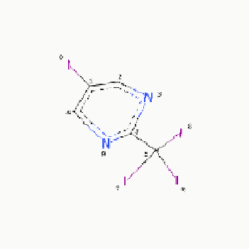 Ic1cnc(C(I)(I)I)nc1